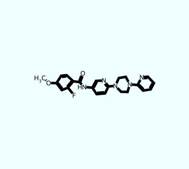 COc1ccc(C(=O)Nc2ccc(N3CCN(c4ccccn4)CC3)nc2)c(F)c1